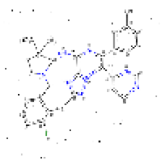 CC1(C(=O)O)CCN(Cc2cccc(F)c2Cc2nc3c(N)nc(-c4cccc(C#N)c4)c(-c4ccncn4)n3n2)C1